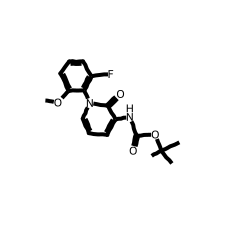 COc1cccc(F)c1-n1cccc(NC(=O)OC(C)(C)C)c1=O